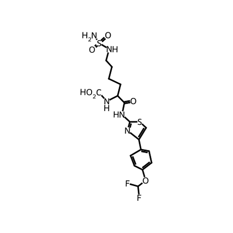 NS(=O)(=O)NCCCCC(NC(=O)O)C(=O)Nc1nc(-c2ccc(OC(F)F)cc2)cs1